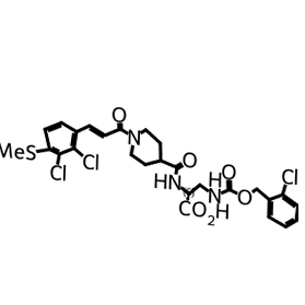 CSc1ccc(C=CC(=O)N2CCC(C(=O)N[C@@H](CNC(=O)OCc3ccccc3Cl)C(=O)O)CC2)c(Cl)c1Cl